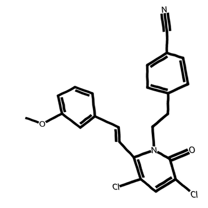 COc1cccc(C=Cc2c(Cl)cc(Cl)c(=O)n2CCc2ccc(C#N)cc2)c1